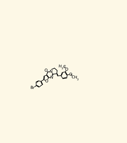 COc1ccc(/C=C2\CCCn3c2nc2oc(-c4ccc(Br)cc4)cc2c3=O)cc1OC